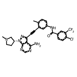 Cc1ccc(NC(=O)c2ccc(Cl)c(C(F)(F)F)c2)cc1C#Cc1nn([C@@H]2CCN(C)C2)c2ncnc(N)c12